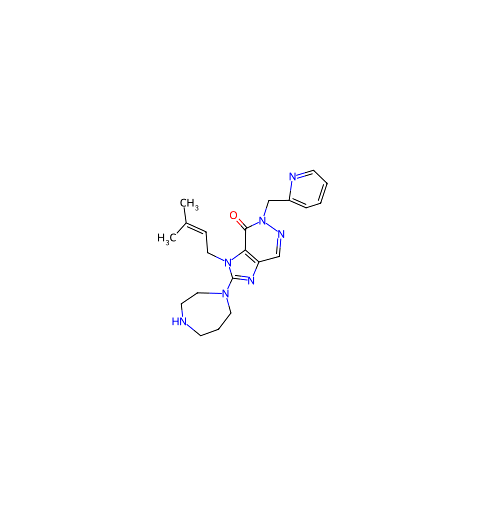 CC(C)=CCn1c(N2CCCNCC2)nc2cnn(Cc3ccccn3)c(=O)c21